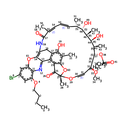 CCCCOc1cc(Br)cc2c1N=C1C(=C3Cc4c(O)c(C)c5c(c41)C(=O)[C@@](C)(O/C=C/[C@H](OC)[C@@H](C)[C@@H](OC(C)=O)[C@H](C)[C@H](O)[C@H](C)[C@@H](O)[C@@H](C)/C=C/C=C(/C)C(=O)N3)O5)O2